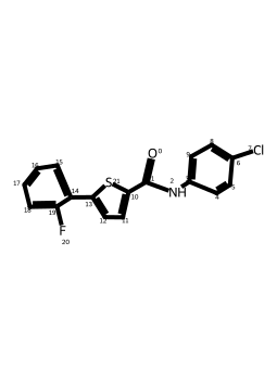 O=C(Nc1ccc(Cl)cc1)c1ccc(-c2ccccc2F)s1